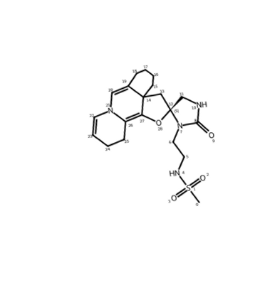 CS(=O)(=O)NCCN1C(=O)NC[C@@]12CC13CCCCC1=CN1C=CCCC1=C3O2